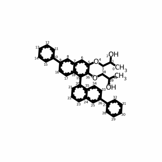 CC(O)COc1cc2cc(-c3ccccc3)ccc2c(-c2cccc3cc(-c4ccccc4)ccc23)c1OCC(C)O